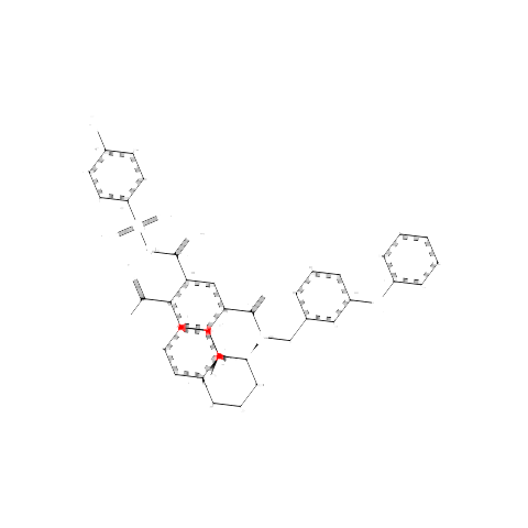 O=C(O)c1cc(C(=O)O)c(C(=O)N(Cc2cccc(Oc3ccccc3)c2)[C@H]2CCCc3ccccc32)cc1C(=O)NS(=O)(=O)c1ccc(O)cc1